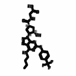 CCCCNc1nc(Sc2ccc(C(F)(F)F)cc2)nc2c1nnn2[C@@H]1C[C@H](C(=O)NCC(=O)O)C[C@@H]1O